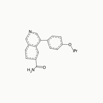 CC(C)Oc1ccc(-c2cncc3ccc(C(N)=O)cc23)cc1